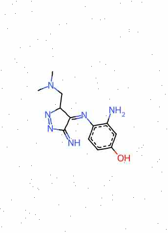 CN(C)CC1N=NC(=N)C1=Nc1ccc(O)cc1N